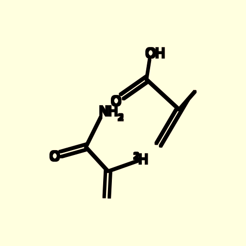 C=C(C)C(=O)O.[2H]C(=C)C(N)=O